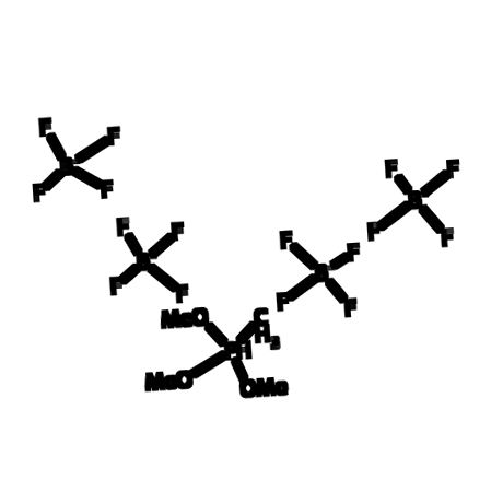 CO[PH](C)(OC)OC.F[B-](F)(F)F.F[B-](F)(F)F.F[B-](F)(F)F.F[B-](F)(F)F